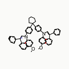 COc1ccc(N(C=C(c2ccccc2)c2ccccc2)c2ccc(C3(c4ccc(N(/C=C(/c5cc#ccc5)c5ccccc5)c5ccc(OC)cc5)cc4)CCCCC3)cc2)cc1